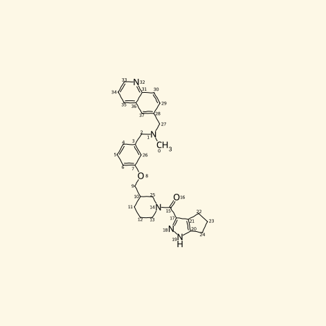 CN(Cc1cccc(OCC2CCCN(C(=O)c3n[nH]c4c3CCC4)C2)c1)Cc1ccc2ncccc2c1